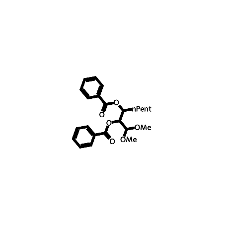 CCCCCC(OC(=O)c1ccccc1)C(OC(=O)c1ccccc1)C(OC)OC